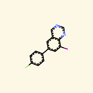 Fc1ccc(-c2cc(I)c3ncncc3c2)cc1